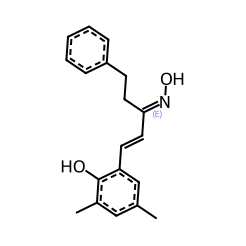 Cc1cc(C)c(O)c(C=C/C(CCc2ccccc2)=N/O)c1